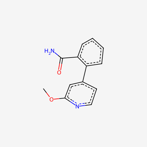 COc1cc(-c2ccccc2C(N)=O)ccn1